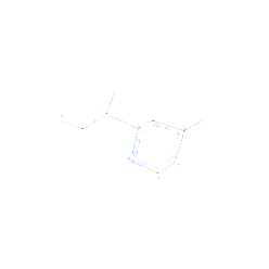 CCC(C)c1cc(C)ccn1